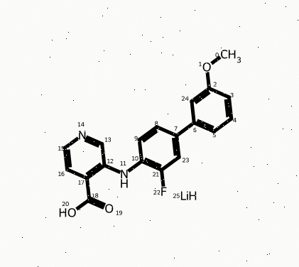 COc1cccc(-c2ccc(Nc3cnccc3C(=O)O)c(F)c2)c1.[LiH]